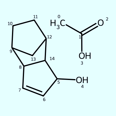 CC(=O)O.OC1C=CC2C3CCC(C3)C12